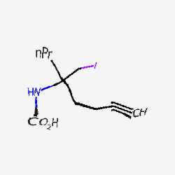 C#CCC(I)(CCC)NC(=O)O